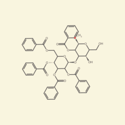 CO[C@H]1OC(CO)[C@@H](O)C(O[C@@H]2OC(COC(=O)c3ccccc3)[C@@H](OC(=O)c3ccccc3)C(OC(=O)c3ccccc3)C2OC(=O)c2ccccc2)C1OC(=O)c1ccccc1